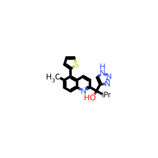 Cc1ccc2nc(C(O)(c3c[nH]nn3)C(C)C)ccc2c1-c1cccs1